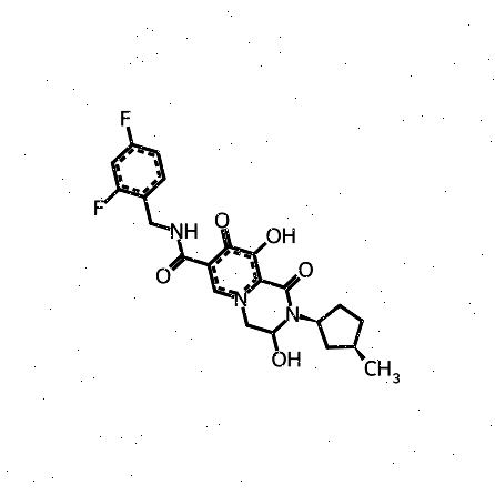 C[C@@H]1CC[C@H](N2C(=O)c3c(O)c(=O)c(C(=O)NCc4ccc(F)cc4F)cn3CC2O)C1